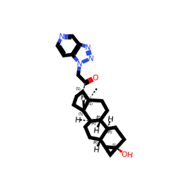 C[C@]12CC[C@@H]3[C@H]4CC[C@]5(O)CC5[C@@H]4CC[C@H]3[C@@H]1CC[C@@H]2C(=O)Cn1nnc2cnccc21